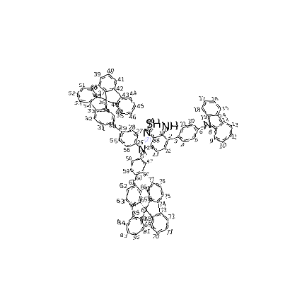 N=C1C(c2ccc(-n3c4ccccc4c4ccccc43)cc2)=CC=C(N(c2ccc(-c3ccc4c(c3)C3(c5ccccc5-c5ccccc53)c3ccccc3-4)cc2)c2ccc(-c3ccc4c(c3)C3(c5ccccc5-c5ccccc53)c3ccccc3-4)cc2)/C1=N/S